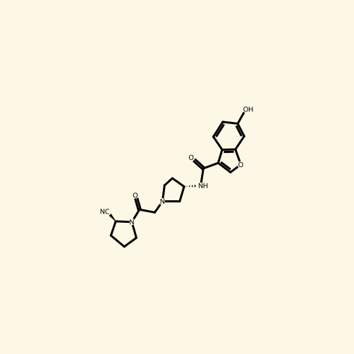 N#C[C@@H]1CCCN1C(=O)CN1CC[C@H](NC(=O)c2coc3cc(O)ccc23)C1